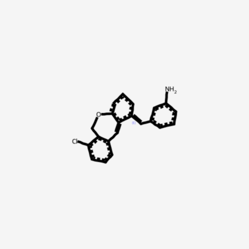 Nc1cccc(/C=c2\cccc3c2=Cc2cccc(Cl)c2CO3)c1